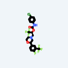 O=C(Nc1ccc(Cl)cc1)O[C@@H](CN1CCOC(c2ccc(F)c(C(F)(F)F)c2)C1)C(F)(F)F